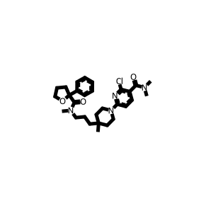 CN(C)C(=O)c1ccc(N2CCC(C)(CCCN(C)C(=O)C3(c4ccccc4)CCCO3)CC2)nc1Cl